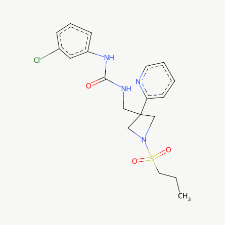 CCCS(=O)(=O)N1CC(CNC(=O)Nc2cccc(Cl)c2)(c2ccccn2)C1